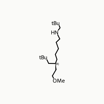 COCC[C@H](CCCCCNCC(C)(C)C)CC(C)(C)C